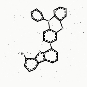 Brc1cccc2c1oc1c(-c3ccc4c(c3)Sc3ccccc3N4c3ccccc3)cccc12